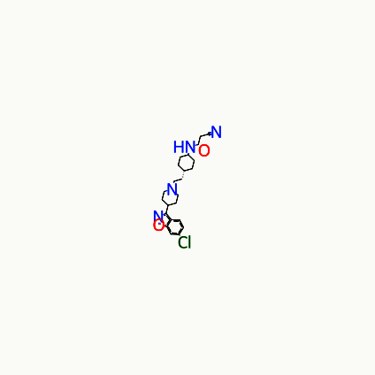 N#CCC(=O)N[C@H]1CC[C@H](CCN2CCC(c3noc4cc(Cl)ccc34)CC2)CC1